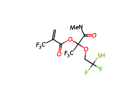 C=C(C(=O)OC(OCC(F)(F)S)(C(=O)NC)C(F)(F)F)C(F)(F)F